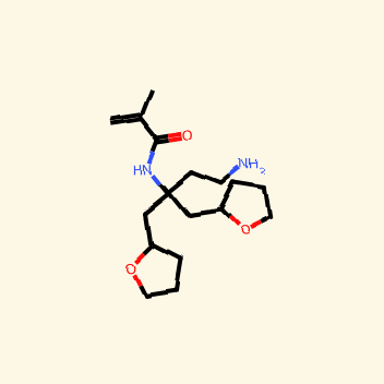 C=C(C)C(=O)NC(CCN)(CC1CCCO1)CC1CCCO1